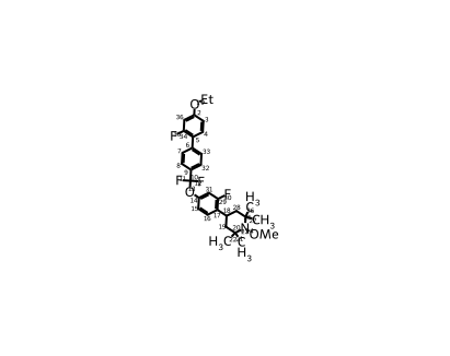 CCOc1ccc(-c2ccc(C(F)(F)Oc3ccc(C4CC(C)(C)N(OC)C(C)(C)C4)c(F)c3)cc2)c(F)c1